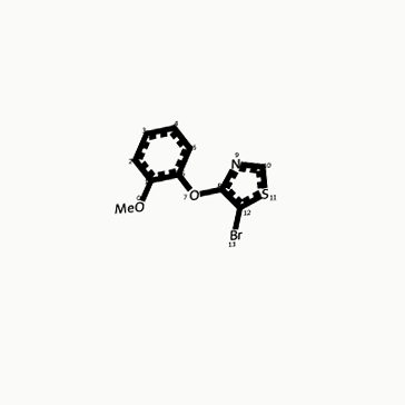 COc1ccccc1Oc1ncsc1Br